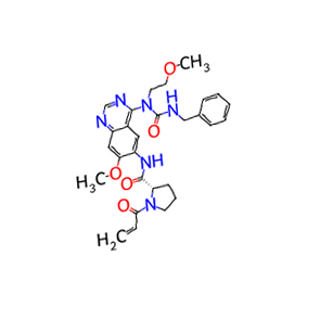 C=CC(=O)N1CCC[C@H]1C(=O)Nc1cc2c(N(CCOC)C(=O)NCc3ccccc3)ncnc2cc1OC